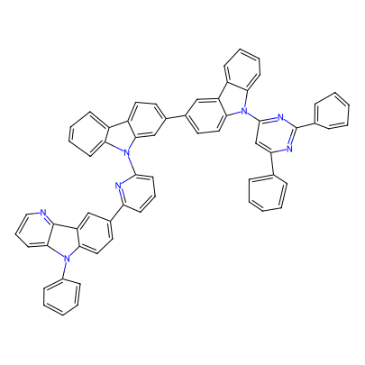 c1ccc(-c2cc(-n3c4ccccc4c4cc(-c5ccc6c7ccccc7n(-c7cccc(-c8ccc9c(c8)c8ncccc8n9-c8ccccc8)n7)c6c5)ccc43)nc(-c3ccccc3)n2)cc1